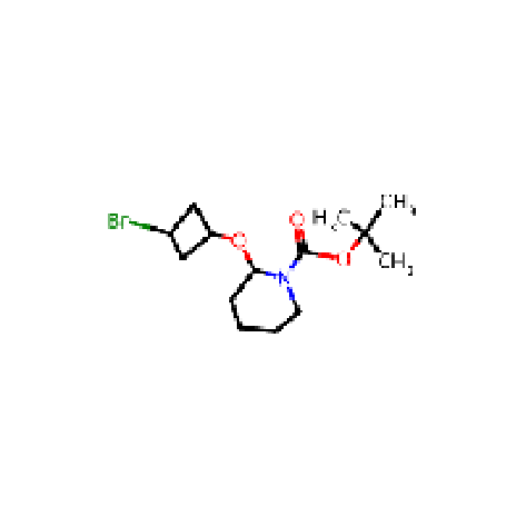 CC(C)(C)OC(=O)N1CCCCC1OC1CC(Br)C1